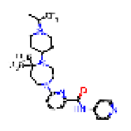 BC1(B)CCN(c2cccc(C(=O)Nc3ccncc3)n2)CCN1C1CCN([C@@H](C)C(F)(F)F)CC1